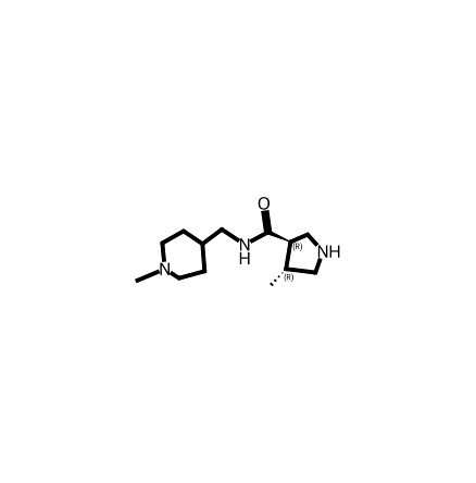 C[C@H]1CNC[C@@H]1C(=O)NCC1CCN(C)CC1